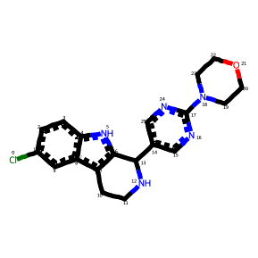 Clc1ccc2[nH]c3c(c2c1)CCNC3c1cnc(N2CCOCC2)nc1